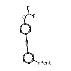 CCCCCc1cccc(C#Cc2ccc(OC(F)F)cc2)c1